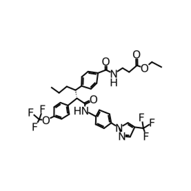 CCCC(c1ccc(C(=O)NCCC(=O)OCC)cc1)[C@H](C(=O)Nc1ccc(-n2cc(C(F)(F)F)cn2)cc1)c1ccc(OC(F)(F)F)cc1